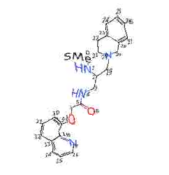 CSNC(CNC(=O)COc1cccc2cccnc12)CN1CCc2ccccc2C1